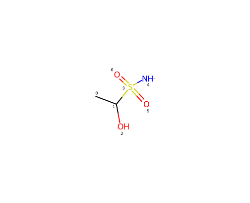 CC(O)S([NH])(=O)=O